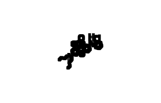 CCCCN(CCCC)c1ccc2c(c1)Oc1ccc(Nc3ccccc3Cl)cc1C21OC(=O)c2ccccc21